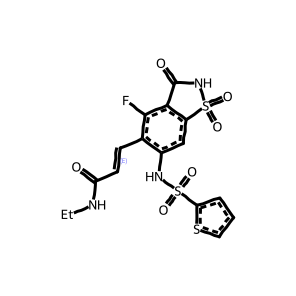 CCNC(=O)/C=C/c1c(NS(=O)(=O)c2cccs2)cc2c(c1F)C(=O)NS2(=O)=O